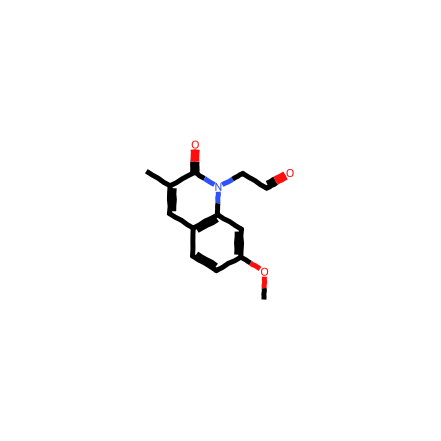 COc1ccc2cc(C)c(=O)n(CC=O)c2c1